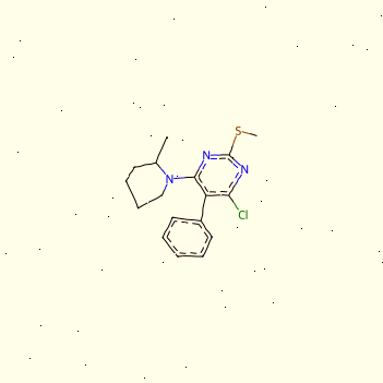 CSc1nc(Cl)c(-c2ccccc2)c(N2CCCCC2C)n1